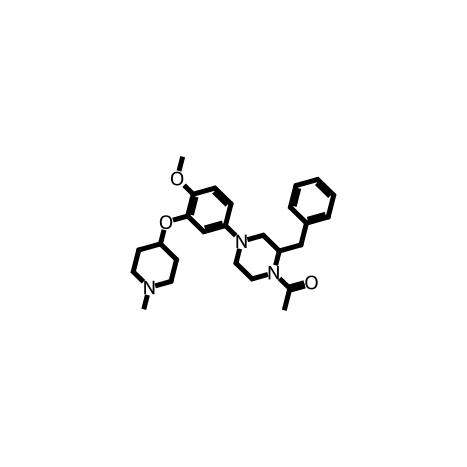 COc1ccc(N2CCN(C(C)=O)C(Cc3ccccc3)C2)cc1OC1CCN(C)CC1